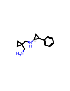 NCC1(CN[C@H]2CC2c2ccccc2)CC1